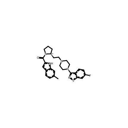 Cc1ccc2cc(C(=O)N3CCC[C@H]3CCN3CCN(c4nsc5cc(F)ccc45)CC3)[nH]c2c1